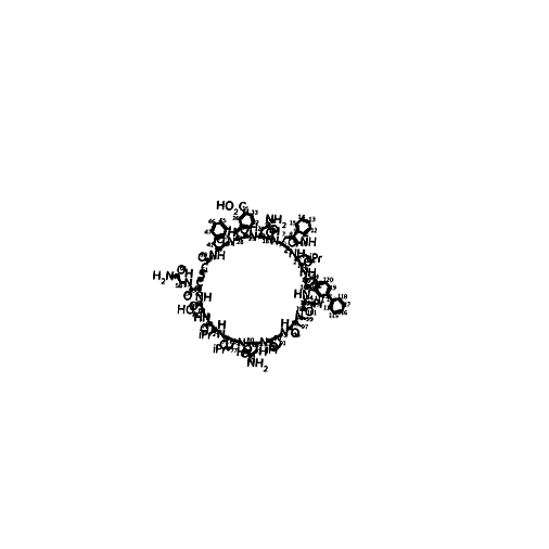 CC(C)C[C@@H]1NC(=O)[C@H](Cc2c[nH]c3ccccc23)NC(=O)[C@H](CC(N)=O)NC(=O)[C@H](Cc2cccc(C(=O)O)c2)NC(=O)[C@H](Cc2ccccc2)NC(=O)CSC[C@@H](C(=O)NCC(N)=O)NC(=O)[C@H](CO)NC(=O)[C@H](C(C)C)NC(=O)[C@H](CC(C)C)NC(=O)[C@H](CC(N)=O)NC(=O)[C@@H](CC(C)C)NC(=O)[C@H](C)N(C)C(=O)[C@H](C(C)C)NC(=O)[C@H](Cc2ccc(-c3ccccc3)cc2)NC1=O